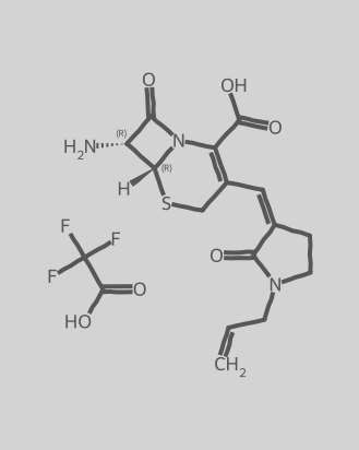 C=CCN1CCC(=CC2=C(C(=O)O)N3C(=O)[C@@H](N)[C@H]3SC2)C1=O.O=C(O)C(F)(F)F